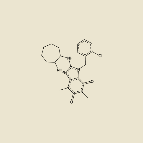 Cn1c(=O)c2c(nc(NC3CCCCCC3N)n2Cc2ccccc2Cl)n(C)c1=O